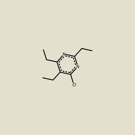 CCc1nc(Cl)c(CC)c(CC)n1